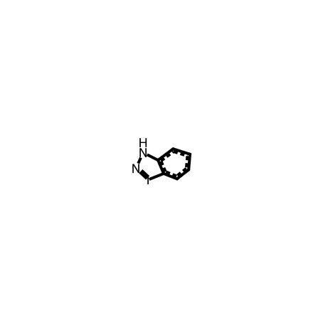 c1ccc2c(c1)NN=I2